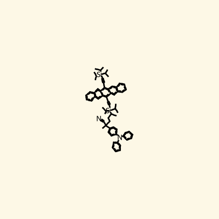 CC(C)[Si](C#Cc1c2cc3ccccc3cc2c(C#C[Si](C(C)C)(C(C)C)C(C)CCC(C)(C#N)c2ccc(N(c3ccccc3)c3ccccc3)cc2)c2cc3ccccc3cc12)(C(C)C)C(C)C